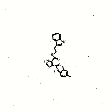 Cc1ccc(NC(=O)c2nc[nH]c2C(=O)NCCc2c[nH]c3ccccc23)c(C)c1